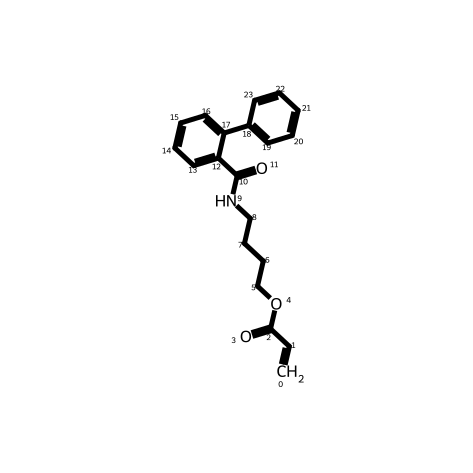 C=CC(=O)OCCCCNC(=O)c1ccccc1-c1ccccc1